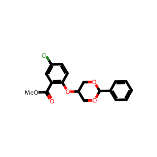 COC(=O)c1cc(Cl)ccc1OC1COC(c2ccccc2)OC1